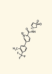 Cc1cc(-c2ccc(C(=O)N[C@@H]3C=CS(=O)(=O)C3)[n+]([O-])c2)ccc1C(F)(F)F